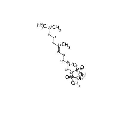 CC(C)=CCC/C(C)=C/CCCCC(P(C)(=O)O)P(=O)(O)O